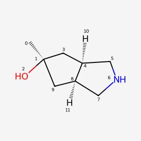 C[C@]1(O)C[C@H]2CNC[C@H]2C1